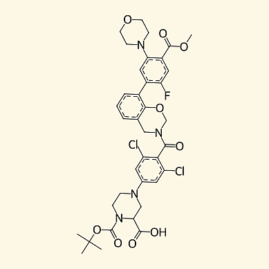 COC(=O)c1cc(F)c(-c2cccc3c2OCN(C(=O)c2c(Cl)cc(N4CCN(C(=O)OC(C)(C)C)C(C(=O)O)C4)cc2Cl)C3)cc1N1CCOCC1